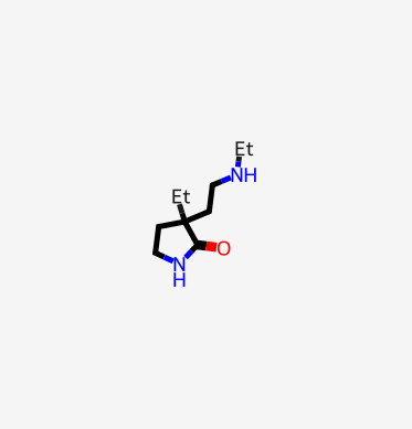 CCNCCC1(CC)CCNC1=O